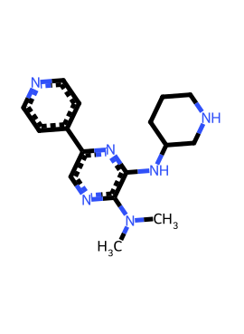 CN(C)c1ncc(-c2ccncc2)nc1NC1CCCNC1